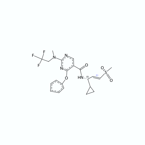 CN(CC(F)(F)F)c1ncc(C(=O)N[C@H](/C=C/S(C)(=O)=O)C2CC2)c(Oc2ccccc2)n1